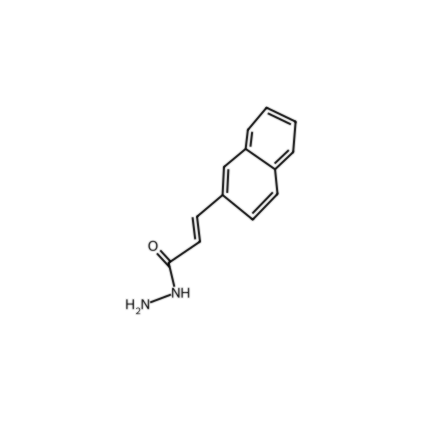 NNC(=O)/C=C/c1ccc2ccccc2c1